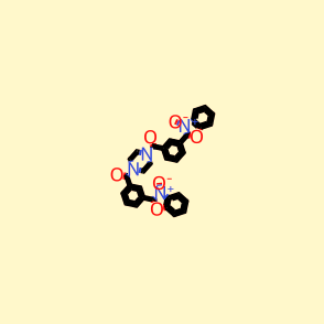 O=C(c1cccc(-c2oc3ccccc3[n+]2[O-])c1)N1CCN(C(=O)c2cccc(-c3oc4ccccc4[n+]3[O-])c2)CC1